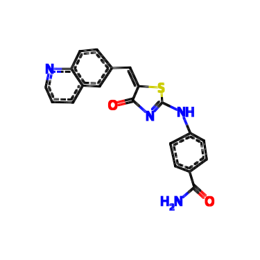 NC(=O)c1ccc(NC2=NC(=O)C(=Cc3ccc4ncccc4c3)S2)cc1